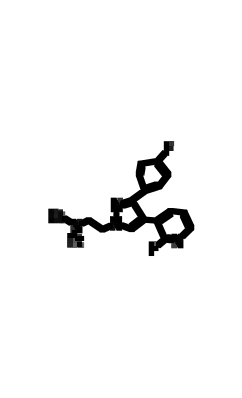 CCN(CC)CCn1cc(-c2cccnc2F)c(-c2ccc(F)cc2)n1